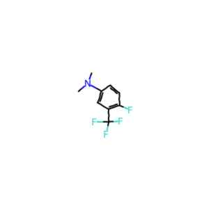 CN(C)c1ccc(F)c(C(F)(F)F)c1